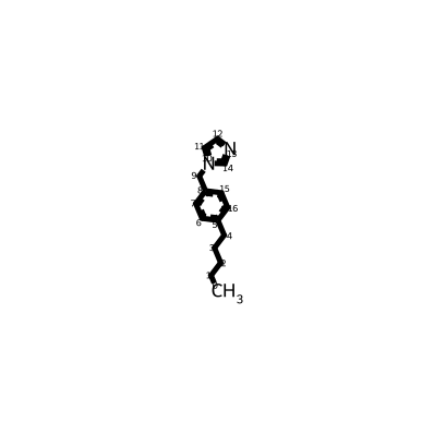 CCCCCc1ccc(Cn2ccnc2)cc1